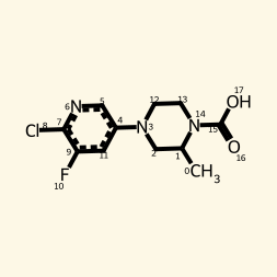 CC1CN(c2cnc(Cl)c(F)c2)CCN1C(=O)O